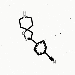 N#Cc1ccc(C2=NOC3(CCNCC3)C2)cc1